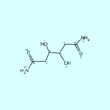 NC(=O)CC(O)C(O)CC(N)=O